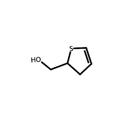 OCC1CC=CS1